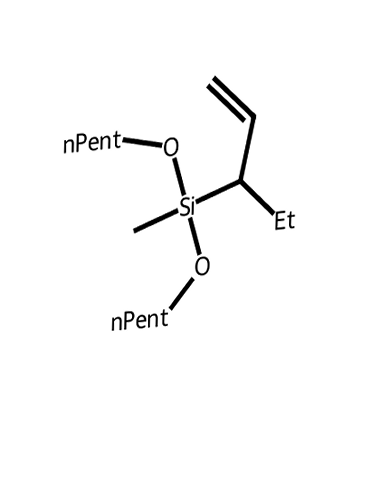 C=CC(CC)[Si](C)(OCCCCC)OCCCCC